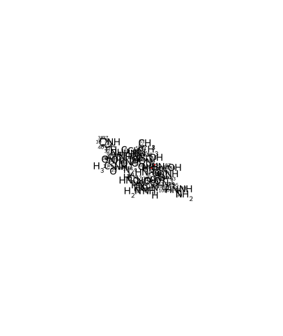 CC(C)C[C@H](NC(=O)[C@H](Cc1c[nH]c2ccccc12)NC(=O)CNC(=O)[C@H](C)NC(=O)[C@H](Cc1c[nH]c2ccccc12)NC(=O)CN)C(=O)N[C@@H](CC(C)C)C(=O)N[C@@H](CO)C(=O)N1CCC[C@H]1C(=O)N[C@@H](CCCNC(=N)N)C(=O)NCC(=O)N[C@@H](CO)C(=O)N[C@@H](CCCNC(=N)N)C(=O)N1CCC[C@H]1C(=O)N[C@@H](CO)C(=O)O